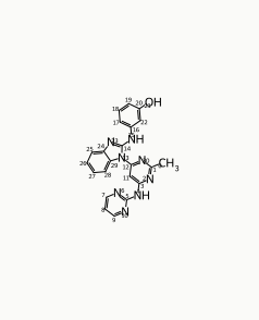 Cc1nc(Nc2ncccn2)cc(-n2c(Nc3cccc(O)c3)nc3ccccc32)n1